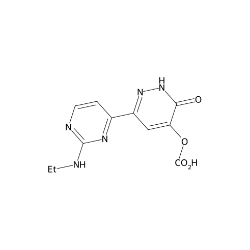 CCNc1nccc(-c2cc(OC(=O)O)c(=O)[nH]n2)n1